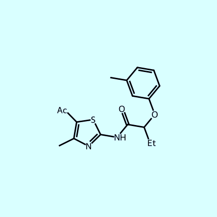 CCC(Oc1cccc(C)c1)C(=O)Nc1nc(C)c(C(C)=O)s1